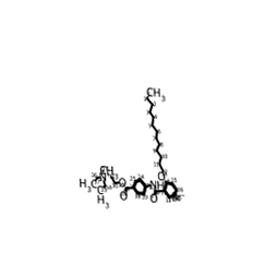 CCCCCCCCCCCCCOc1ccccc1C(=O)Nc1ccc(C(=O)OCC[N+](C)(CC)CC)cc1.[Br-]